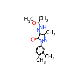 COC(C)N/N=C1/C(=O)N(c2ccc(C)c(C)c2)N=C1C